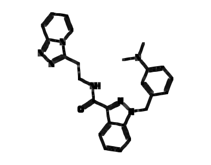 CN(C)c1cccc(Cn2nc(C(=O)NCCc3nnc4ccccn34)c3ccccc32)c1